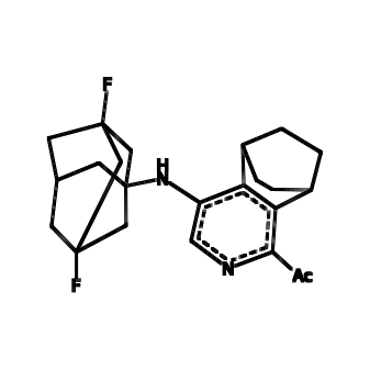 CC(=O)c1ncc(NC23CC4CC(F)(CC(F)(C4)C2)C3)c2c1C1CCC2CC1